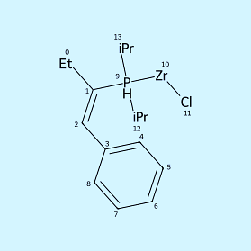 CCC(=Cc1ccccc1)[PH]([Zr][Cl])(C(C)C)C(C)C